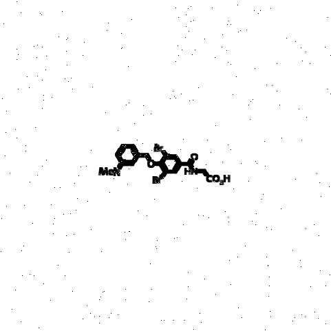 CNc1cccc(COc2c(Br)cc(C(=O)NCC(=O)O)cc2Br)c1